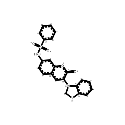 O=c1oc2cc(NS(=O)(=O)c3ccccc3)ccc2cc1N1CSc2ccccc21